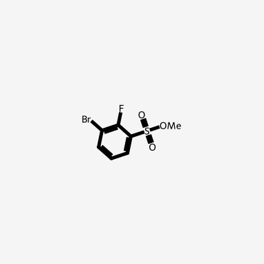 [CH2]OS(=O)(=O)c1cccc(Br)c1F